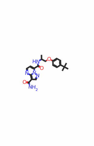 CC(COc1ccc(C(C)(C)C)cc1)NC(=O)c1ccnc2c(C(N)=O)cnn12